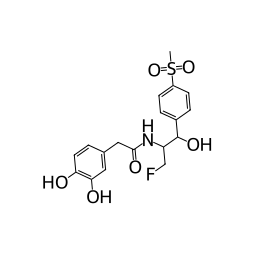 CS(=O)(=O)c1ccc(C(O)C(CF)NC(=O)Cc2ccc(O)c(O)c2)cc1